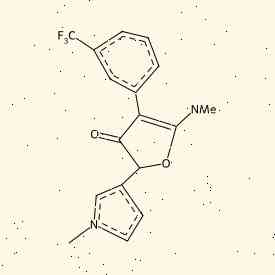 CNC1=C(c2cccc(C(F)(F)F)c2)C(=O)C(c2ccn(C)c2)O1